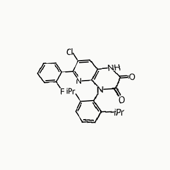 CC(C)c1cccc(C(C)C)c1-n1c(=O)c(=O)[nH]c2cc(Cl)c(-c3ccccc3F)nc21